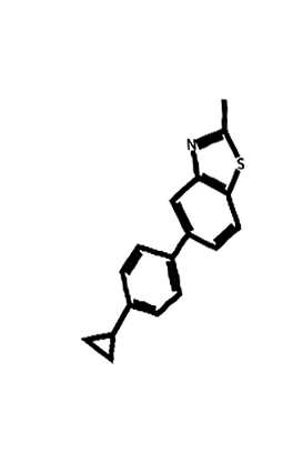 Cc1nc2cc(-c3ccc(C4CC4)cc3)ccc2s1